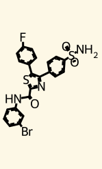 NS(=O)(=O)c1ccc(-c2nc(C(=O)Nc3cccc(Br)c3)sc2-c2ccc(F)cc2)cc1